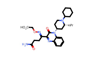 CCC[C@@H]1C[C@H](n2c(=O)c(/C(CCC(N)=O)=N/OCC(=O)O)nc3ccccc32)CCN1C1CCCCC1